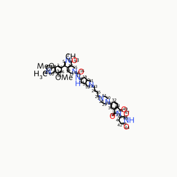 COc1cc(-c2cn(C)c(=O)c3c2CCN(C(=O)NC2CC4CN(CCCCN5CCN(c6ccc7c(c6)C(=O)N(C6CCC(=O)NC6=O)C7=O)CC5)CC4C2)C3)cc(OC)c1CN(C)C